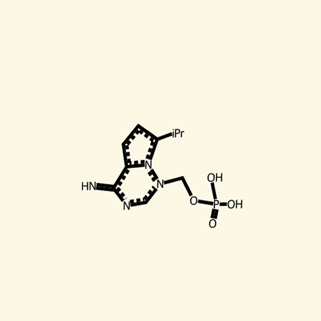 CC(C)c1ccc2c(=N)ncn(COP(=O)(O)O)n12